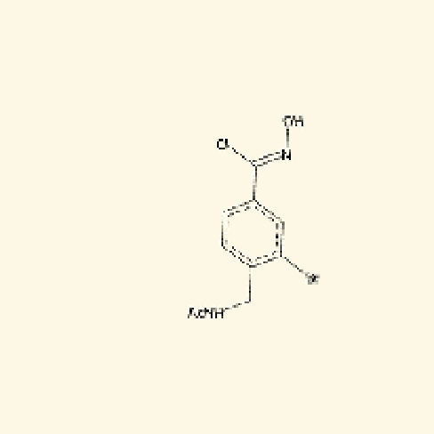 CC(=O)NCc1ccc(C(Cl)=NO)cc1Br